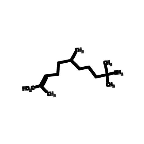 CC(=CCCC(C)CCCC(C)(C)N)C(=O)O